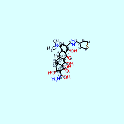 CN(C)c1cc(CNCC2CCSCC2)c(O)c2c1C[C@H]1C[C@H]3CC(O)=C(C(N)O)C(=O)[C@@]3(O)C(O)=C1C2=O